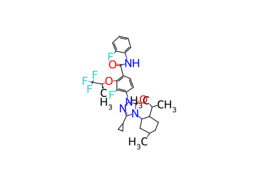 CC1CCC(C(C)C)C(n2c(C3CC3)nn(-c3ccc(C(=O)Nc4ccccc4F)c(O[C@@H](C)C(F)(F)F)c3F)c2=O)C1